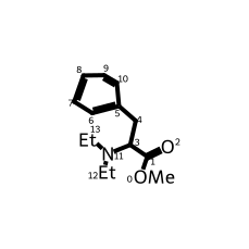 [CH2]OC(=O)C(Cc1ccccc1)N(CC)CC